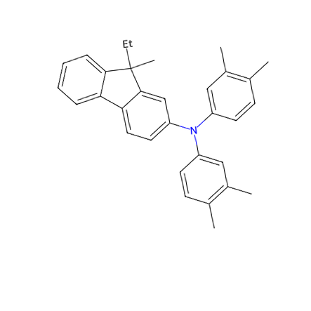 CCC1(C)c2ccccc2-c2ccc(N(c3ccc(C)c(C)c3)c3ccc(C)c(C)c3)cc21